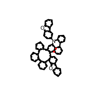 c1ccc(-c2ccccc2N(c2ccc3oc4ccccc4c3c2)c2ccc3c(c2)c2ccccc2c2ccccc2c2ccccc2c2c3ccc3c4ccccc4oc32)cc1